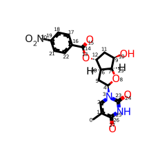 Cc1cn([C@H]2C[C@@H]3[C@H](O2)[C@H](O)C[C@H]3OC(=O)c2ccc([N+](=O)[O-])cc2)c(=O)[nH]c1=O